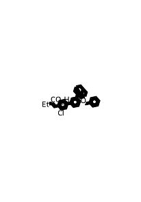 CCC(=Cc1ccc(-c2ccc(OCc3ccccc3)c(C34CC5CC(CC(C5)C3)C4)c2)cc1Cl)C(=O)O